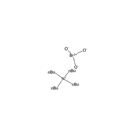 CCCC[N+](CCCC)(CCCC)CCCC.[O-][Br+2]([O-])[O-]